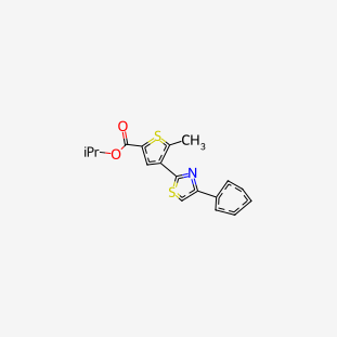 Cc1sc(C(=O)OC(C)C)cc1-c1nc(-c2ccccc2)cs1